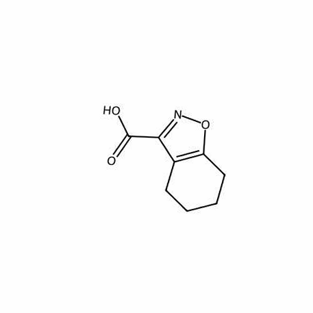 O=C(O)c1noc2c1CCCC2